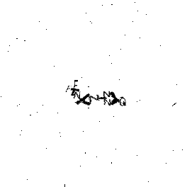 COc1cnc(N2CC(C)(N3CC(F)(F)C3)C2)nc1